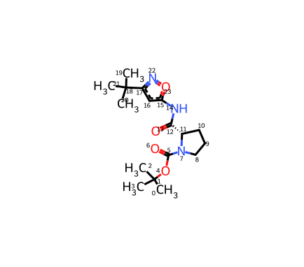 CC(C)(C)OC(=O)N1CCC[C@H]1C(=O)Nc1cc(C(C)(C)C)no1